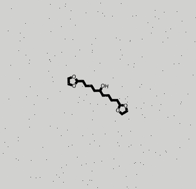 OC(CCCCC1OCCO1)CCCCC1OCCO1